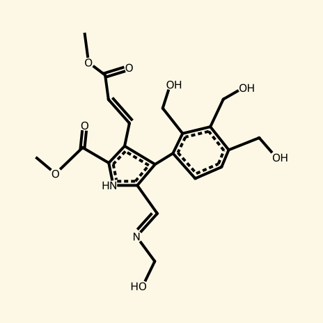 COC(=O)/C=C/c1c(C(=O)OC)[nH]c(/C=N/CO)c1-c1ccc(CO)c(CO)c1CO